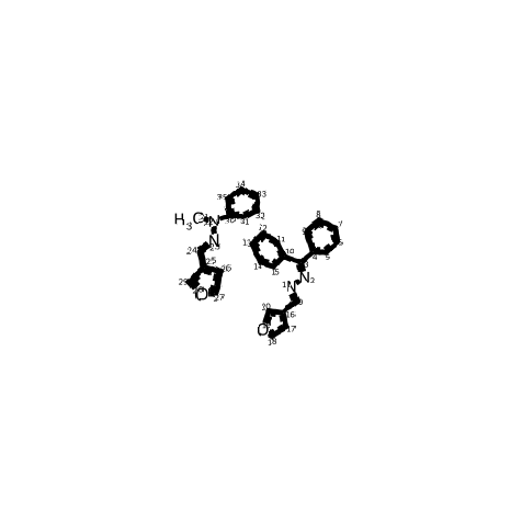 C(=NN=C(c1ccccc1)c1ccccc1)c1ccoc1.CN(N=Cc1ccoc1)c1ccccc1